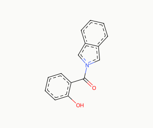 O=C(c1ccccc1O)n1cc2ccccc2c1